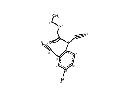 CCOC(=O)C(C#N)c1ccc(Br)cc1C#N